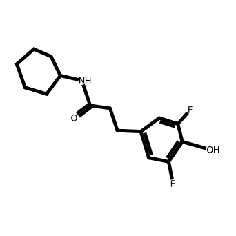 O=C(CCc1cc(F)c(O)c(F)c1)NC1CCCCC1